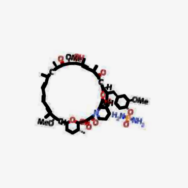 CO[C@H]1C[C@@H]2CC[C@@H](C)[C@@](O)(O2)C(=O)C(=O)N2CCC[C@@H]3C(C[C@@H]4CC[C@@H](OP(N)(N)=O)[C@H](OC)C4)[C@H](CC(=O)C(C)/C=C(\C)[C@@H](O)[C@@H](OC)C(=O)[C@H](C)CC(C)/C=C/C=C/C=C/1C)OC(=O)[C@H]32